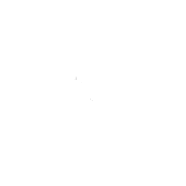 CCC1CCCCN1C(C)C(F)(F)F.CO[SiH2]OC